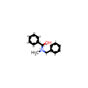 CN(Cc1ccccc1)C(O)c1ccccc1